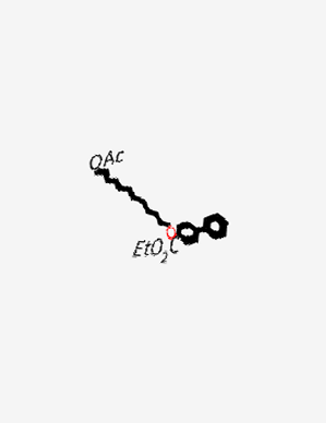 CCOC(=O)C1(OCCCCCCCCCCCCOC(C)=O)C=CC(c2ccccc2)C=C1